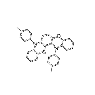 Cc1ccc(-n2c3ccccc3sc3c2ccc2oc4ccccc4n(-c4ccc(C)cc4)c23)cc1